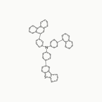 c1cc(-c2cc3ccccc3c3ccccc23)cc(N(c2ccc(-c3ccc4sc5ccccc5c4c3)cc2)c2ccc(-c3cccc4ccccc34)cc2)c1